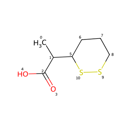 CC(C(=O)O)C1CCCSS1